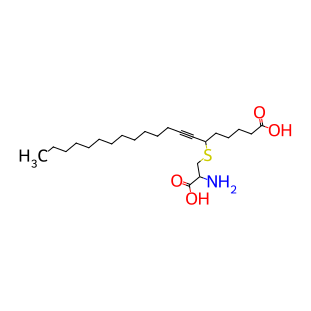 CCCCCCCCCCCCC#CC(CCCCC(=O)O)SCC(N)C(=O)O